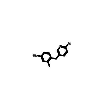 CC(=O)c1ccc(Cc2ccc(C(C)(C)C)cc2C)cn1